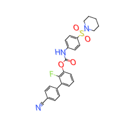 N#Cc1ccc(-c2cccc(OC(=O)Nc3ccc(S(=O)(=O)N4CCCCC4)cc3)c2F)cc1